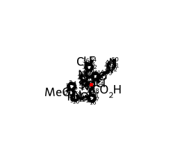 COc1ccccc1-c1nccc(COc2ccccc2C[C@@H](Oc2nsc3cnc(-c4ccc(F)c(Cl)c4)c(-c4ccc(OCCN5CCN(C)CC5)c(Cl)c4C)c23)C(=O)O)n1